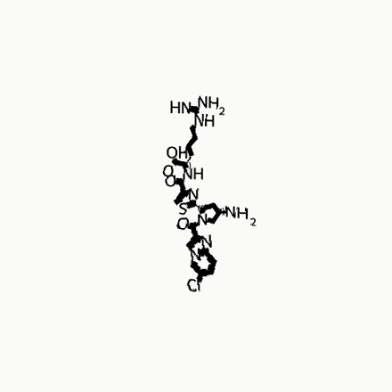 N=C(N)NCCCC[C@H](NC(=O)c1csc([C@@H]2C[C@@H](N)CN2C(=O)c2cn3cc(Cl)ccc3n2)n1)C(=O)O